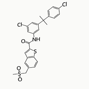 CC(C)(c1ccc(Cl)cc1)c1cc(Cl)cc(NC(=O)c2cc3cc(CS(C)(=O)=O)ccc3s2)c1